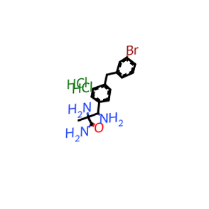 CC(N)(C(N)=O)C(N)c1ccc(Cc2cccc(Br)c2)cc1.Cl.Cl